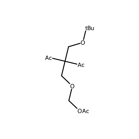 CC(=O)OCOCC(COC(C)(C)C)(C(C)=O)C(C)=O